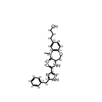 CN1C(=O)C(NC(=O)c2n[nH]c(Cc3ccccc3)n2)COc2ccc(CCCO)cc21